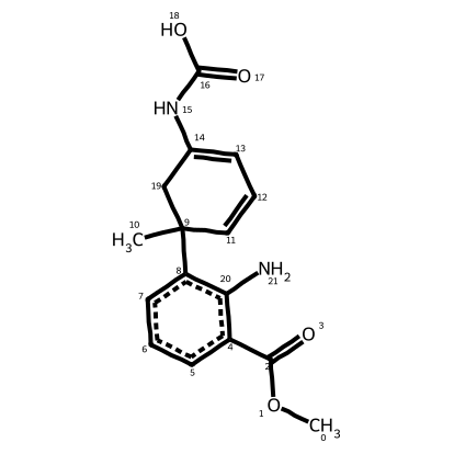 COC(=O)c1cccc(C2(C)C=CC=C(NC(=O)O)C2)c1N